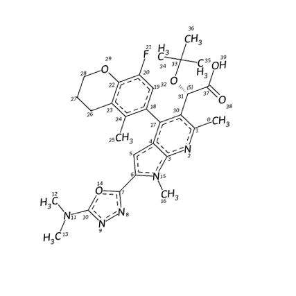 Cc1nc2c(cc(-c3nnc(N(C)C)o3)n2C)c(-c2cc(F)c3c(c2C)CCCO3)c1[C@H](OC(C)(C)C)C(=O)O